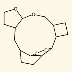 C1CC2CC3CCC4C3CCC4C3CCC3COC2O1